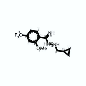 COc1cc(C(F)(F)F)ccc1C(=N)NNCC1CC1